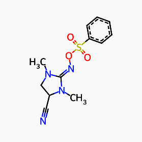 CN1CC(C#N)N(C)C1=NOS(=O)(=O)c1ccccc1